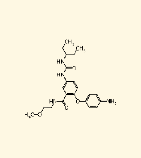 CCC(CC)NC(=O)Nc1ccc(Oc2ccc(N)cc2)c(C(=O)NCCOC)c1